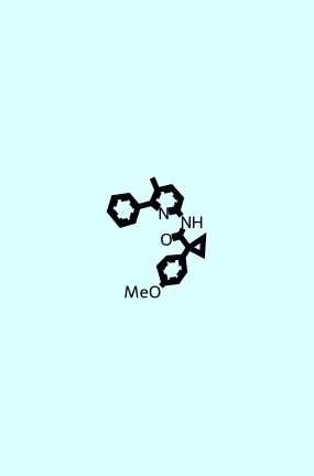 COc1ccc(C2(C(=O)Nc3ccc(C)c(-c4ccccc4)n3)CC2)cc1